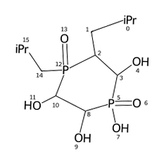 CC(C)CC1C(O)P(=O)(O)C(O)C(O)P1(=O)CC(C)C